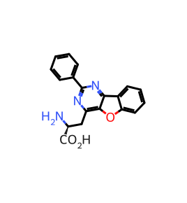 N[C@@H](Cc1nc(-c2ccccc2)nc2c1oc1ccccc12)C(=O)O